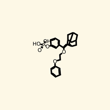 O=P(O)(O)Oc1cccc(C(OCCOc2ccccc2)=C2C3CC4CC(C3)CC2C4)c1